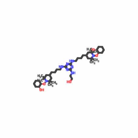 CC1(C)CC(CCCCNc2nc(NCCO)nc(NCCCCC3CC(C)(C)N(O[C@@H]4CCCC[C@H]4O)C(C)(C)C3)n2)CC(C)(C)N1O[C@@H]1CCCC[C@H]1O